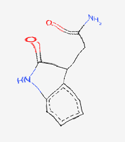 NC(=O)CC1C(=O)Nc2ccccc21